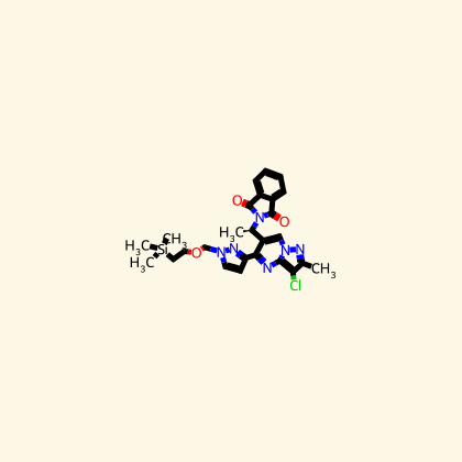 Cc1nn2cc([C@H](C)N3C(=O)c4ccccc4C3=O)c(-c3ccn(COCC[Si](C)(C)C)n3)nc2c1Cl